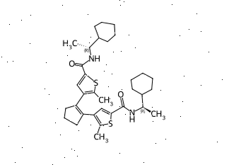 Cc1sc(C(=O)N[C@H](C)C2CCCCC2)cc1C1=C(c2cc(C(=O)N[C@H](C)C3CCCCC3)sc2C)CCC1